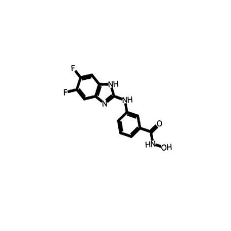 O=C(NO)c1cccc(Nc2nc3cc(F)c(F)cc3[nH]2)c1